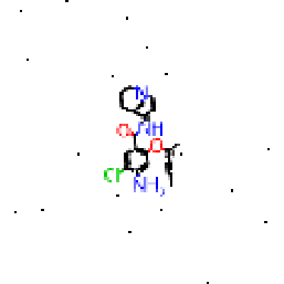 CC#C[C@H](C)Oc1cc(N)c(Cl)cc1C(=O)N[C@@H]1CCN2CCCC1C2